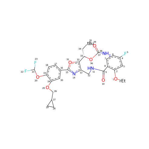 CCOc1cc(F)ccc1C(=O)NCc1nc(-c2ccc(OC(F)F)c(OCC3CC3)c2)oc1[C@H](CC(C)(C)C)OC(N)=O